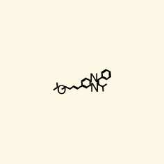 CC(C)OCC/C=C/c1ccc2nc(-c3ccccc3)c(C(C)C)nc2c1